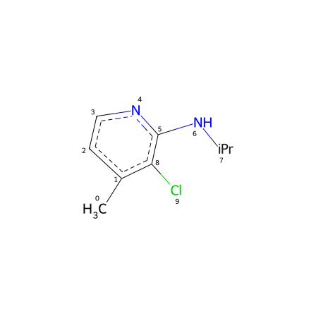 Cc1ccnc(NC(C)C)c1Cl